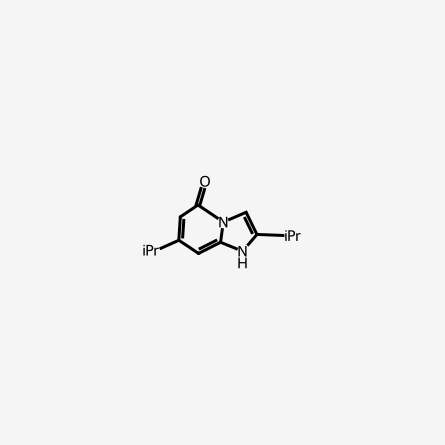 CC(C)c1cc(=O)n2cc(C(C)C)[nH]c2c1